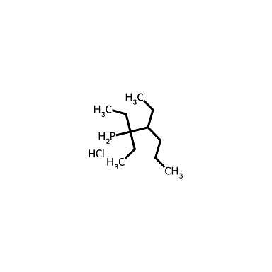 CCCC(CC)C(P)(CC)CC.Cl